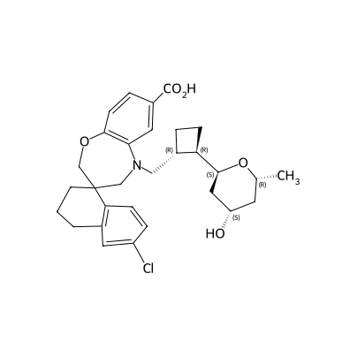 C[C@@H]1C[C@H](O)C[C@@H]([C@@H]2CC[C@H]2CN2CC3(CCCc4cc(Cl)ccc43)COc3ccc(C(=O)O)cc32)O1